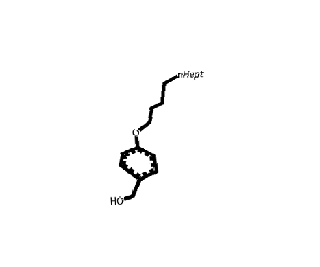 CCCCCCCCCCCOc1ccc(CO)cc1